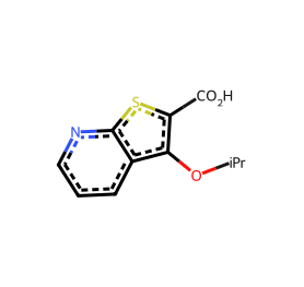 CC(C)Oc1c(C(=O)O)sc2ncccc12